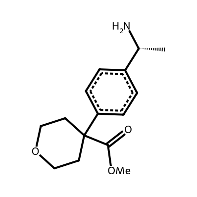 COC(=O)C1(c2ccc([C@@H](C)N)cc2)CCOCC1